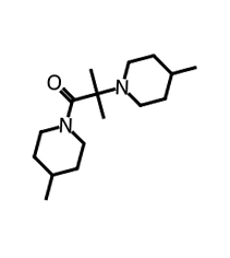 CC1CCN(C(=O)C(C)(C)N2CCC(C)CC2)CC1